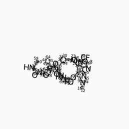 CO[C@@H](C)c1ncc(N2CCN(C3CC3)CC2)cc1-c1c2c3cc(ccc3n1CC(F)(F)F)-c1cccc(c1)C[C@H](NC(=O)C(C1CCCC1)N1CCOC3(CN(C(=O)[C@@H]4NC4C4CC4)C3)C1)C(=O)N1CCC[C@H](N1)C(=O)OCC(C)(C)C2